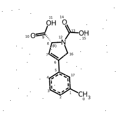 Cc1cccc(C2=C[C@H](C(=O)O)N(C(=O)O)C2)c1